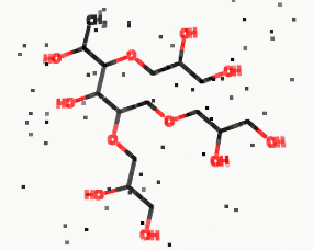 CC(O)C(OCC(O)CO)C(O)C(COCC(O)CO)OCC(O)CO